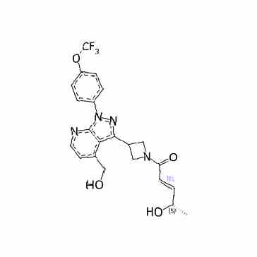 C[C@H](O)/C=C/C(=O)N1CC(c2nn(-c3ccc(OC(F)(F)F)cc3)c3nccc(CO)c23)C1